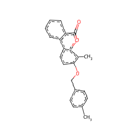 Cc1ccc(COc2ccc3c(oc(=O)c4ccccc43)c2C)cc1